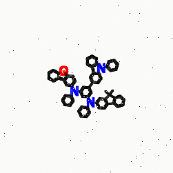 CC1(C)c2ccccc2-c2ccc(N(c3ccccc3)c3cc(-c4ccc5c(c4)c4ccccc4n5-c4ccccc4)cc(N(c4ccccc4)c4ccc5oc6ccccc6c5c4)c3)cc21